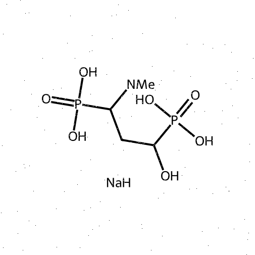 CNC(CC(O)P(=O)(O)O)P(=O)(O)O.[NaH]